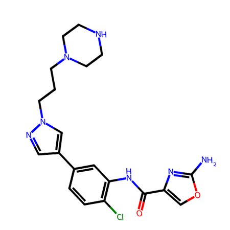 Nc1nc(C(=O)Nc2cc(-c3cnn(CCCN4CCNCC4)c3)ccc2Cl)co1